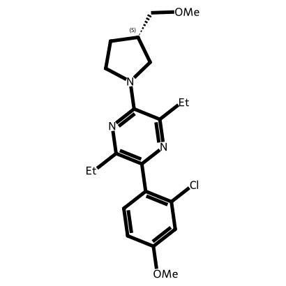 CCc1nc(N2CC[C@H](COC)C2)c(CC)nc1-c1ccc(OC)cc1Cl